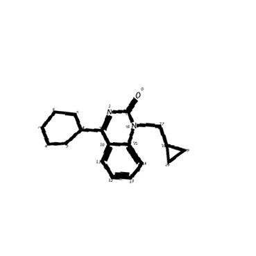 O=c1nc(C2CCCCC2)c2ccccc2n1CC1CC1